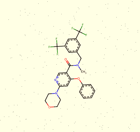 CN(Cc1cc(C(F)(F)F)cc(C(F)(F)F)c1)C(=O)c1cnc(N2CCOCC2)cc1Oc1ccccc1